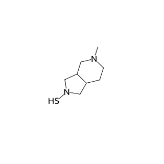 CN1CCC2CN(S)CC2C1